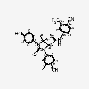 Cc1cc(N2C(=S)N(c3ccc(O)cc3)C(C)(C)C2=NC(=S)Nc2ccc(C#N)c(C(F)(F)F)c2)ccc1C#N